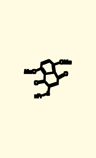 CCCSC1=CC(=O)c2c(OC)ccc(OC)c2C1=O